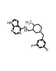 CC1CCN(Cc2cc(F)cc(F)c2)CC1CNc1ncnc2[nH]ccc12